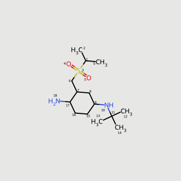 CC(C)S(=O)(=O)CC1CC(NC(C)(C)C)CCC1N